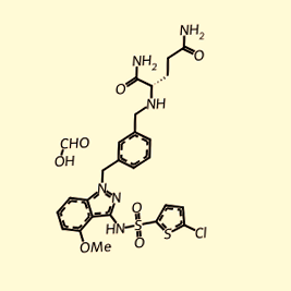 COc1cccc2c1c(NS(=O)(=O)c1ccc(Cl)s1)nn2Cc1cccc(CN[C@@H](CCC(N)=O)C(N)=O)c1.O=CO